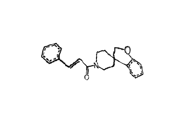 O=C(C=Cc1ccccc1)N1CCC2(CC1)COc1ccccc12